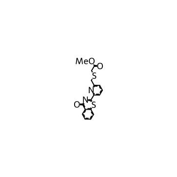 COC(=O)CSCc1cccc(-c2nc(=O)c3ccccc3s2)n1